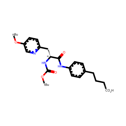 CCCCOc1ccc(C[C@@H](NC(=O)OC(C)(C)C)C(=O)Nc2ccc(CCCC(=O)O)cc2)nc1